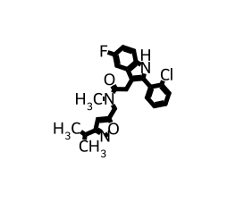 CC(C)c1cc(CN(C)C(=O)Cc2c(-c3ccccc3Cl)[nH]c3ccc(F)cc23)on1